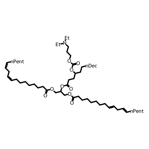 CCCCCC=CCC=CCCCCCCCC(=O)OCC(COC(=O)CCCCCCC/C=C\C/C=C\CCCCC)OC(=O)CCC(CCCCCCCCCCCC)OC(=O)OCCCN(CC)CC